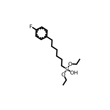 CCO[Si](O)(CCCCCCc1ccc(F)cc1)OCC